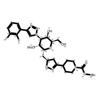 CO[C@@H]1[C@@H](n2cc(-c3cccc(F)c3F)nn2)[C@@H](O)[C@@H](CO)O[C@@H]1C[C@H]1CC(C2CCN(C(=O)OC(C)(C)C)CC2)=NO1